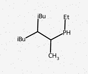 CCPC(C)C(C(C)CC)C(C)CC